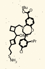 CCCc1cc(Cl)ccc1C1COc2ccc(C(=O)OC(C)(C)C)cc2N(CC2CCC2C(OC)C2=CC(CCSN)C2)C1